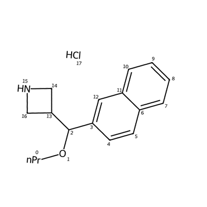 CCCOC(c1ccc2ccccc2c1)C1CNC1.Cl